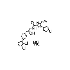 CCCc1nc(C(=O)NC[C@@H](O)CN2CCN(c3cccc(Cl)c3Cl)CC2)cn1-c1ccc(Cl)cc1.Cl.Cl